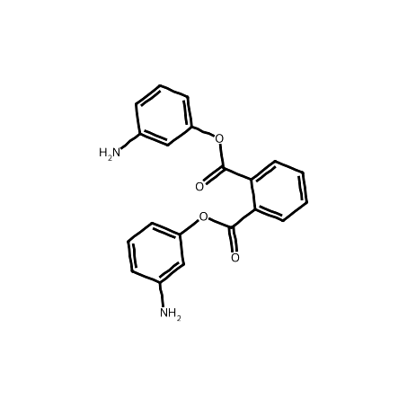 Nc1cccc(OC(=O)c2ccccc2C(=O)Oc2cccc(N)c2)c1